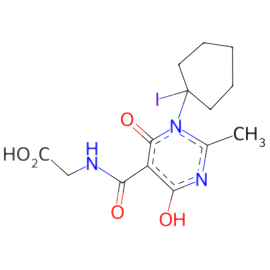 Cc1nc(O)c(C(=O)NCC(=O)O)c(=O)n1C1(I)CCCCC1